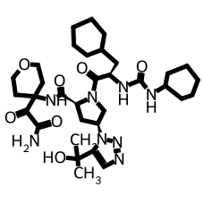 CC(C)(O)c1cnnn1[C@H]1C[C@@H](C(=O)NC2(C(=O)C(N)=O)CCOCC2)N(C(=O)[C@@H](CC2CCCCC2)NC(=O)NC2CCCCC2)C1